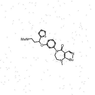 CCC(C)C1=C(/C=N\C)C(=O)N(c2cccc(OC(CCNC)c3cccs3)c2)CCN1C